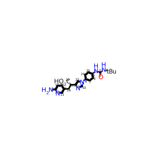 CC(C)(C)NC(=O)Nc1ccc(-n2cnc(C(Cc3ccc(N)nc3)C(=O)O)c2)cc1